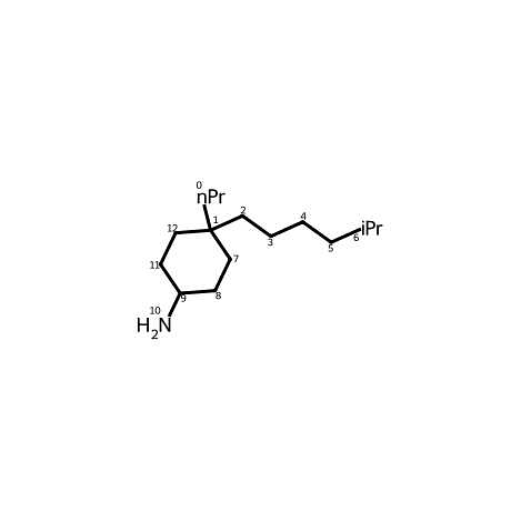 CCCC1(CCCCC(C)C)CCC(N)CC1